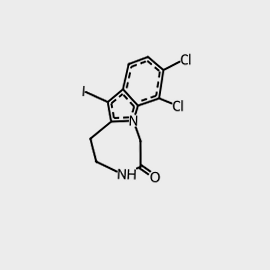 O=C1Cn2c(c(I)c3ccc(Cl)c(Cl)c32)CCN1